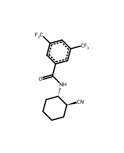 N#C[C@H]1CCCC[C@@H]1NC(=O)c1cc(C(F)(F)F)cc(C(F)(F)F)c1